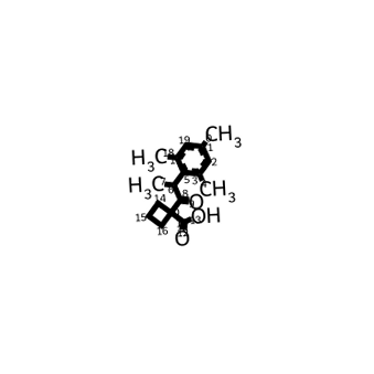 Cc1cc(C)c(C(C)C(=O)C2(C(=O)O)CCC2)c(C)c1